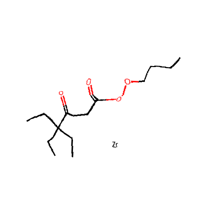 CCCCOOC(=O)CC(=O)C(CC)(CC)CC.[Zr]